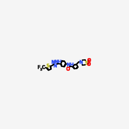 O=C(Nc1ccc(-c2nc(-c3ccc(C(F)(F)F)s3)n[nH]2)cc1)c1cccc(CN2CCS(=O)(=O)CC2)c1